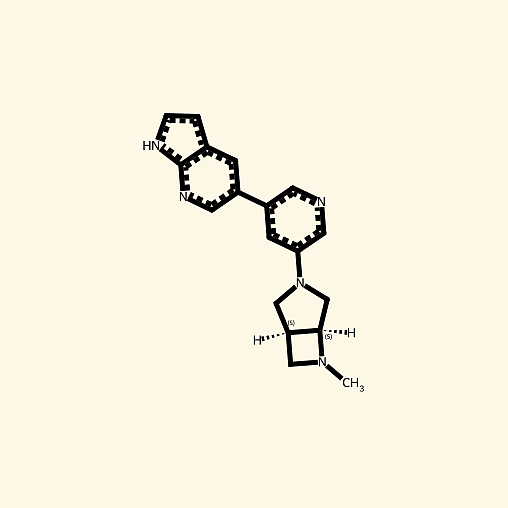 CN1C[C@H]2CN(c3cncc(-c4cnc5[nH]ccc5c4)c3)C[C@H]21